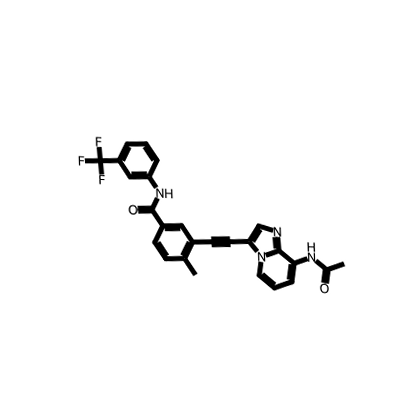 CC(=O)Nc1cccn2c(C#Cc3cc(C(=O)Nc4cccc(C(F)(F)F)c4)ccc3C)cnc12